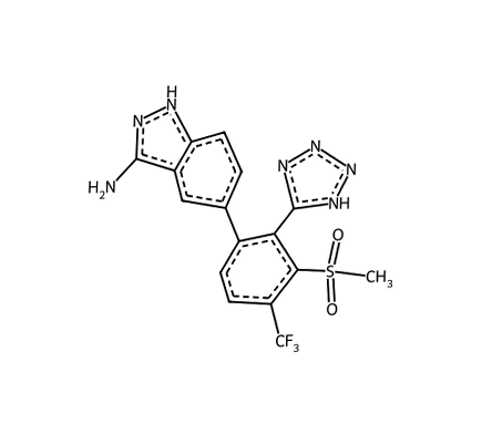 CS(=O)(=O)c1c(C(F)(F)F)ccc(-c2ccc3[nH]nc(N)c3c2)c1-c1nnn[nH]1